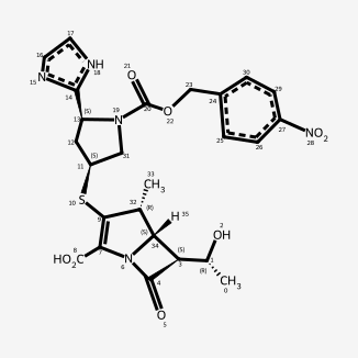 C[C@@H](O)[C@H]1C(=O)N2C(C(=O)O)=C(S[C@H]3C[C@@H](c4ncc[nH]4)N(C(=O)OCc4ccc([N+](=O)[O-])cc4)C3)[C@H](C)[C@H]12